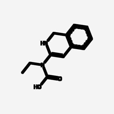 CCN(C(=O)O)C1=Cc2ccccc2CN1